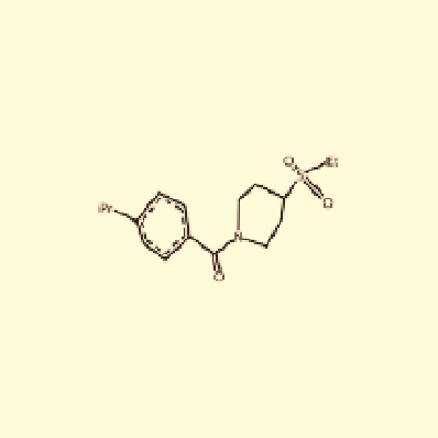 CCS(=O)(=O)C1CCN(C(=O)c2ccc(C(C)C)cc2)CC1